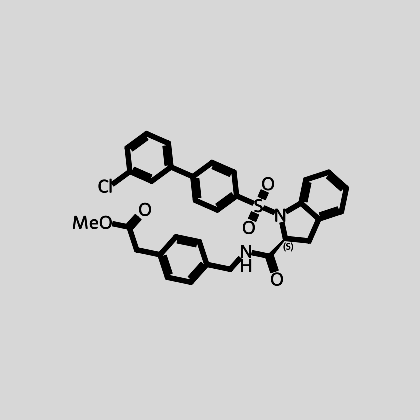 COC(=O)Cc1ccc(CNC(=O)[C@@H]2Cc3ccccc3N2S(=O)(=O)c2ccc(-c3cccc(Cl)c3)cc2)cc1